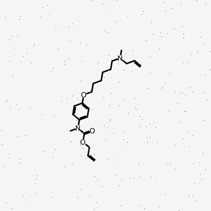 C=CCOC(=O)N(C)c1ccc(OCCCCCCN(C)CC=C)cc1